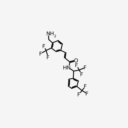 NCc1ccc(C=CC(=O)NC(c2cccc(C(F)(F)F)c2)C(F)(F)F)cc1C(F)(F)F